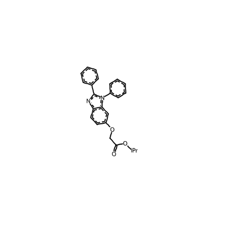 CC(C)OC(=O)COc1ccc2nc(-c3ccccc3)n(-c3ccccc3)c2c1